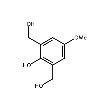 COc1cc(CO)c(O)c(CO)c1